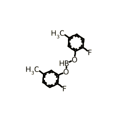 Cc1ccc(F)c(OBOc2cc(C)ccc2F)c1